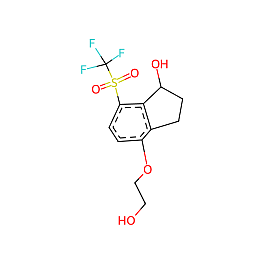 O=S(=O)(c1ccc(OCCO)c2c1C(O)CC2)C(F)(F)F